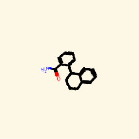 NC(=O)c1ccccc1C1CCCc2ccccc21